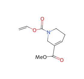 C=COC(=O)N1CCC=C(C(=O)OC)C1